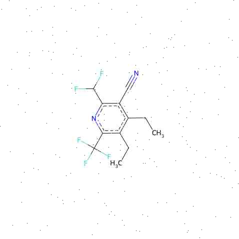 CCc1c(C(F)(F)F)nc(C(F)F)c(C#N)c1CC